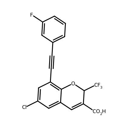 O=C(O)C1=Cc2cc(Cl)cc(C#Cc3cccc(F)c3)c2OC1C(F)(F)F